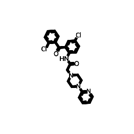 O=C(CN1CCN(c2ccccn2)CC1)Nc1ccc(Cl)cc1C(=O)c1ccccc1Cl